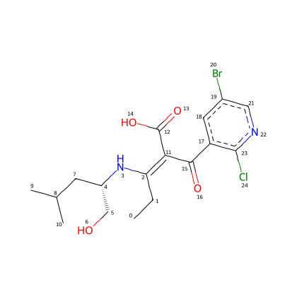 CC/C(N[C@H](CO)CC(C)C)=C(/C(=O)O)C(=O)c1cc(Br)cnc1Cl